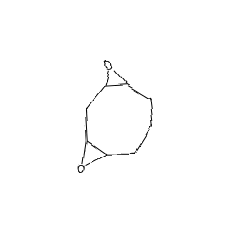 C1CC2OC2CC2OC2C1